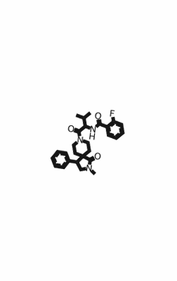 CC(C)C(NC(=O)c1ccccc1F)C(=O)N1CCC2(CC1)C(=O)N(C)CC2c1ccccc1